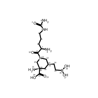 NC(=O)NCCCC(N)C(=O)N1C[C@@H](CCB(O)O)C[C@](N)(C(=O)O)C1